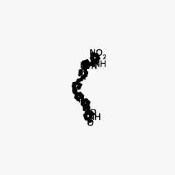 O=C1CCC(N2Cc3ccc(N4CCC(CN5CCC(CCN6CCN(c7cc(-c8n[nH]c9ccc([N+](=O)[O-])cc89)ccn7)CC6)CC5)CC4)cc3C2)C(=O)N1